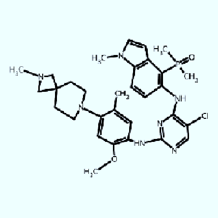 COc1cc(N2CCC3(CC2)CN(C)C3)c(C)cc1Nc1ncc(Cl)c(Nc2ccc3c(ccn3C)c2P(C)(C)=O)n1